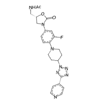 CC(=O)NC[C@H]1CN(c2ccc(N3CCC(n4nnc(-c5ccncc5)n4)CC3)c(F)c2)C(=O)O1